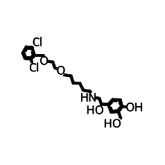 OCc1cc(C(O)CNCCCCCCOCCOCc2c(Cl)cccc2Cl)ccc1O